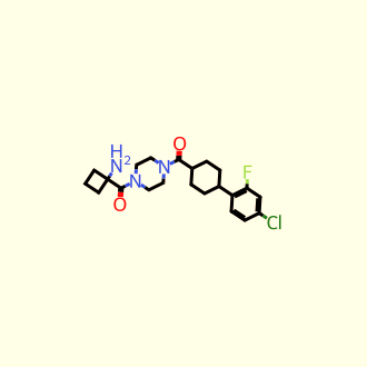 NC1(C(=O)N2CCN(C(=O)C3CCC(c4ccc(Cl)cc4F)CC3)CC2)CCC1